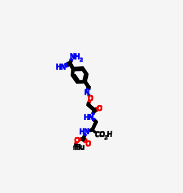 CCCCOC(=O)N[C@@H](CNC(=O)CON=Cc1ccc(C(=N)N)cc1)C(=O)O